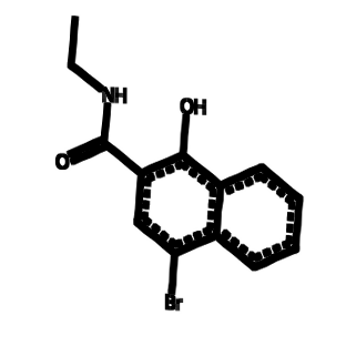 CCNC(=O)c1cc(Br)c2ccccc2c1O